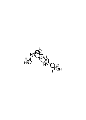 C=C(C)[C@@H]1CC[C@]2(NCCN3CCNC3=O)CC[C@]3(C)[C@H](CC[C@@H]4C5(C)CC=C(C6=CCC(CF)(C(=O)O)CC6)C(C)(C)[C@@H]5CC[C@]43C)[C@@H]12